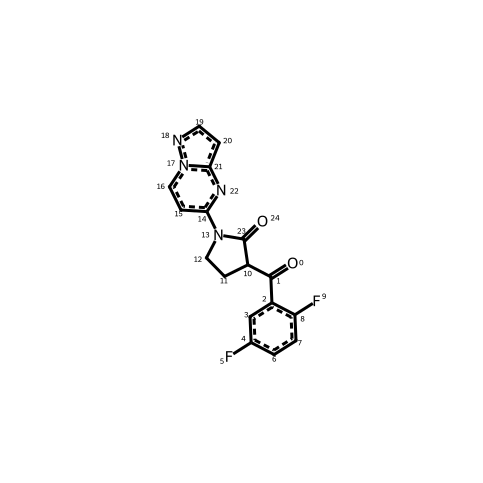 O=C(c1cc(F)ccc1F)C1CCN(c2ccn3nccc3n2)C1=O